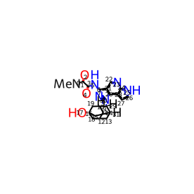 CNC(=O)C(=O)Nc1nn([C@H]2[C@@H]3CC4C[C@H]2C[C@@](O)(C4)C3)c2c1cnc1[nH]ccc12